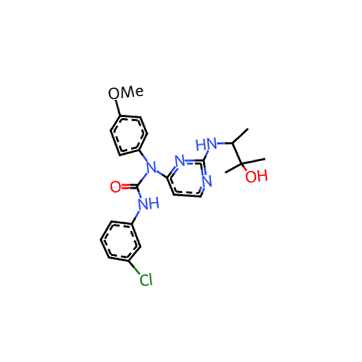 COc1ccc(N(C(=O)Nc2cccc(Cl)c2)c2ccnc(NC(C)C(C)(C)O)n2)cc1